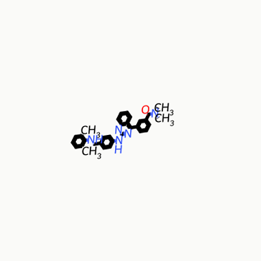 Cc1cccc(C)c1NCc1ccc(Nc2nc(-c3cccc(C(=O)N(C)C)c3)c3ccccc3n2)cc1